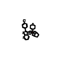 O=C(N1CCSCC1)N1C2CCC1CN(Cc1c(-c3ccc(Cl)cc3)nc3ncccn13)C2